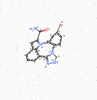 NC(=O)c1cc2cccc3c4n(c5ccc(Br)cc5n1c23)CNN=4